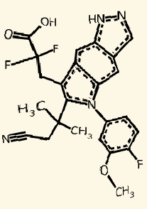 COc1cc(-n2c(C(C)(C)CC#N)c(CC(F)(F)C(=O)O)c3cc4[nH]ncc4cc32)ccc1F